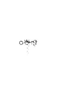 CCCCCCc1cc(-c2ccccc2)nnc1NCC1CCCN1CC